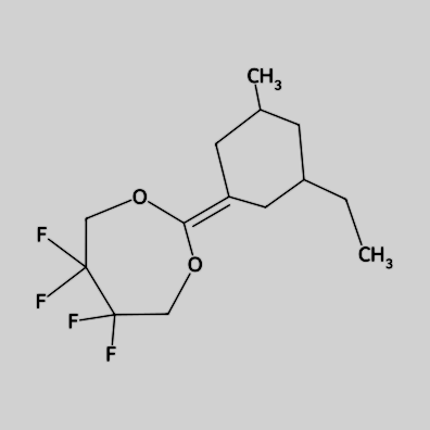 CCC1CC(=C2OCC(F)(F)C(F)(F)CO2)CC(C)C1